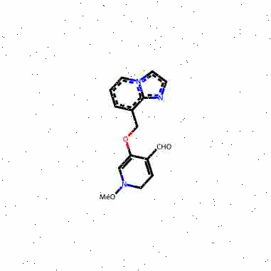 CON1C=C(OCc2cccn3ccnc23)C(C=O)=CC1